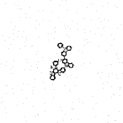 N#Cc1ccc2nc3c4oc5ccccc5c4c4oc5ccc(-n6c7ccccc7c7cc(-c8ccc9c(c8)c8ccccc8n9-c8ccccc8)ccc76)cc5c4n3c2c1